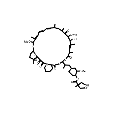 COC1CC2CC[C@H](C)C(O)(O2)C(=O)C(=O)N2CCCCC2C(=O)OC(C(C)CC2CCC(OC(=O)C(C)(CO)CO)C(OC)C2)CC(=O)C(C)/C=C(\C)C(O)C(OC)C(=O)C(C)CC(C)/C=C/C=C/C=C/1C